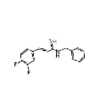 N=C(C=Cc1ccc(F)c(F)c1)NCc1ccccc1